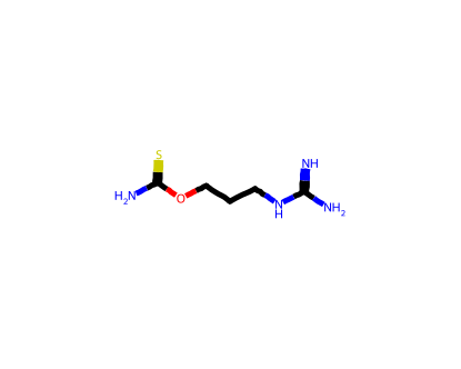 N=C(N)NCCCOC(N)=S